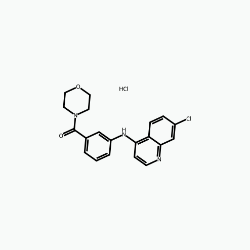 Cl.O=C(c1cccc(Nc2ccnc3cc(Cl)ccc23)c1)N1CCOCC1